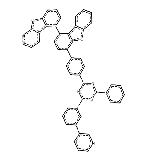 c1ccc(-c2nc(-c3ccc(-c4ccc(-c5cccc6oc7ccccc7c56)c5c4oc4ccccc45)cc3)nc(-c3cccc(-c4cccnc4)c3)n2)cc1